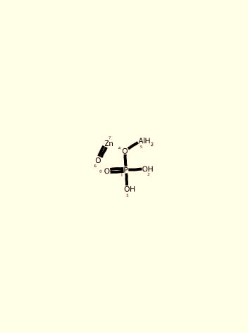 O=P(O)(O)[O][AlH2].[O]=[Zn]